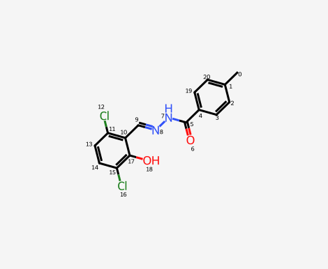 Cc1ccc(C(=O)N/N=C/c2c(Cl)ccc(Cl)c2O)cc1